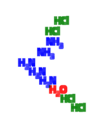 Cl.Cl.Cl.Cl.N.N.N.N.N.O